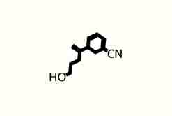 C=C(CCCO)C1C=CC=C(C#N)C1